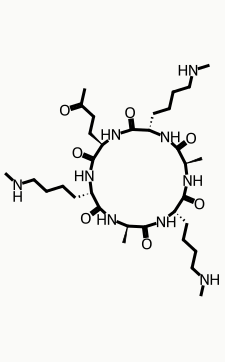 CNCCCC[C@@H]1NC(=O)[C@@H](C)NC(=O)[C@H](CCCCNC)NC(=O)[C@@H](CCC(C)=O)NC(=O)[C@H](CCCCNC)NC(=O)[C@@H](C)NC1=O